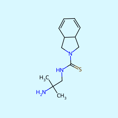 CC(C)(N)CNC(=S)N1CC2C=CC=CC2C1